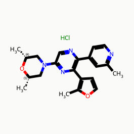 Cc1cc(-c2ncc(N3C[C@@H](C)O[C@@H](C)C3)nc2-c2ccoc2C)ccn1.Cl